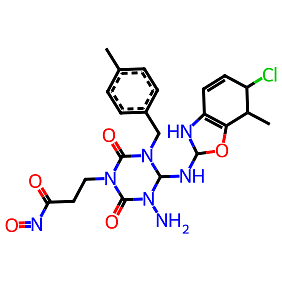 Cc1ccc(CN2C(=O)N(CCC(=O)N=O)C(=O)N(N)C2NC2NC3=C(O2)C(C)C(Cl)C=C3)cc1